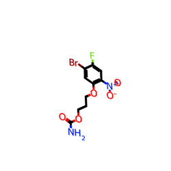 NC(=O)OCCCOc1cc(Br)c(F)cc1[N+](=O)[O-]